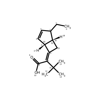 CCC1C=C[C@H]2C(=C(C(=O)O)C(C)(C)C)C[C@@H]12